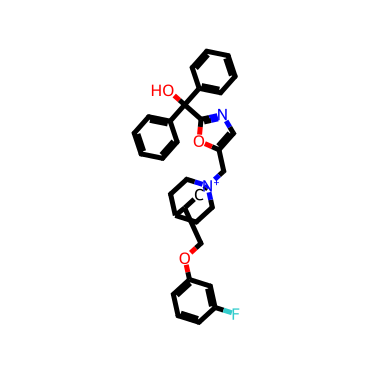 OC(c1ccccc1)(c1ccccc1)c1ncc(C[N+]23CCC(CC2)C(COc2cccc(F)c2)C3)o1